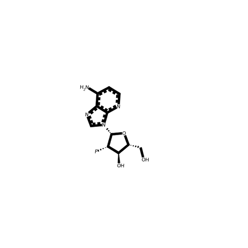 Nc1ccnc2c1ncn2[C@@H]1O[C@H](CO)[C@@H](O)[C@@H]1F